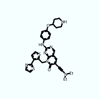 CCN(C#Cc1cc2cnc(Nc3ccc(OC4CCNCC4)cc3)nc2n(Cc2sccc2-c2nccs2)c1=O)CC